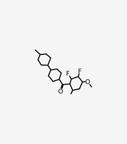 COC1CC(C)C(C(=O)C2CCC(C3CCC(C)CC3)CC2)C(F)C1F